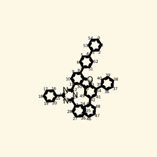 c1ccc(-c2ccc(-c3ccc(-c4nc(-c5ccccc5)nc(-c5ccccc5)n4)c4c3oc3c(-c5ccccc5)cc(-c5ccccc5)cc34)cc2)cc1